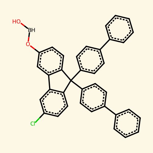 OBOc1ccc2c(c1)-c1cc(Cl)ccc1C2(c1ccc(-c2ccccc2)cc1)c1ccc(-c2ccccc2)cc1